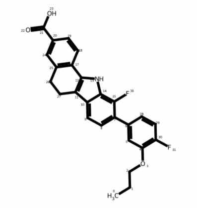 CCCOc1cc(-c2ccc3c4c([nH]c3c2F)-c2ccc(C(=O)O)cc2CC4)ccc1F